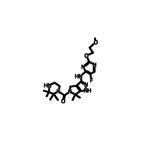 COCCOc1ncc(F)c(Nc2n[nH]c3c2CN(C(=O)N2CCNC(C)(C)C2(C)C)C3(C)C)n1